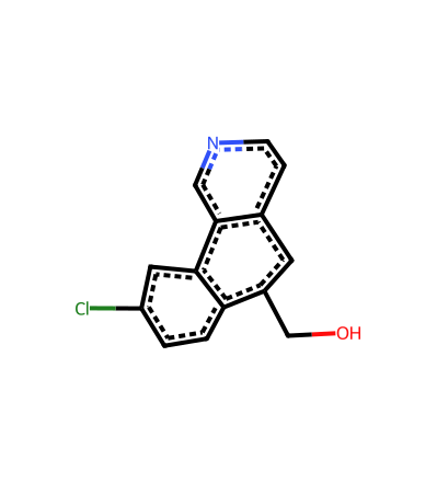 OCc1cc2ccncc2c2cc(Cl)ccc12